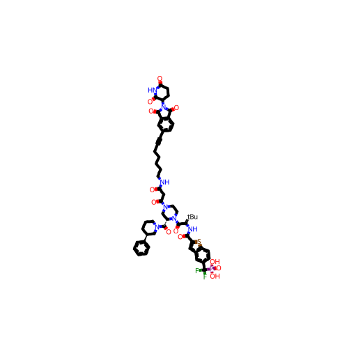 CC(C)(C)C(NC(=O)c1cc2cc(C(F)(F)P(=O)(O)O)ccc2s1)C(=O)N1CCN(C(=O)CC(=O)NCCCCCC#Cc2ccc3c(c2)C(=O)N(C2CCC(=O)NC2=O)C3=O)C[C@H]1C(=O)N1CCC[C@H](c2ccccc2)C1